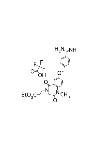 CCOC(=O)CCN1CC(=O)N(C)c2ccc(OCc3ccc(C(=N)N)cc3)cc2C1=O.O=C(O)C(F)(F)F